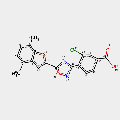 Cc1ccc(C)c2sc(-c3nc(-c4ccc(C(=O)O)cc4Cl)no3)cc12